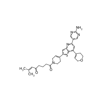 CC(C)=CC(=O)CCCC(=O)N1CC=C(c2cc3nc(-c4cnc(N)nc4)cc(C4=CCOCC4)c3s2)CC1